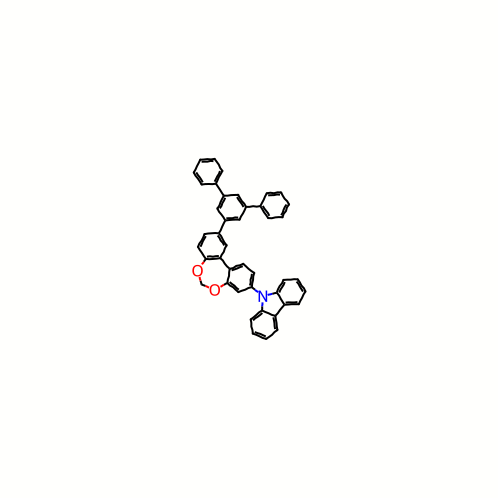 c1ccc(-c2cc(-c3ccccc3)cc(-c3ccc4c(c3)-c3ccc(-n5c6ccccc6c6ccccc65)cc3OCO4)c2)cc1